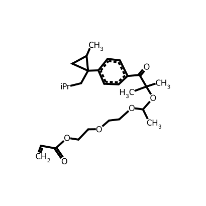 C=CC(=O)OCCOCCOC(C)OC(C)(C)C(=O)c1ccc(C2(CC(C)C)CC2C)cc1